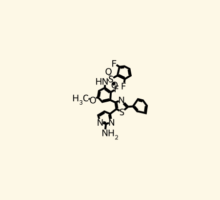 COc1cc(NS(=O)(=O)c2c(F)cccc2F)c(F)c(-c2nc(-c3ccccc3)sc2-c2ccnc(N)n2)c1